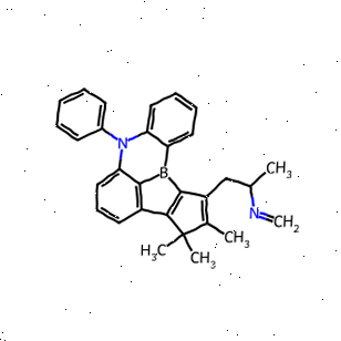 C=NC(C)CC1=C(C)C(C)(C)C2=C1B1c3ccccc3N(c3ccccc3)c3cccc2c31